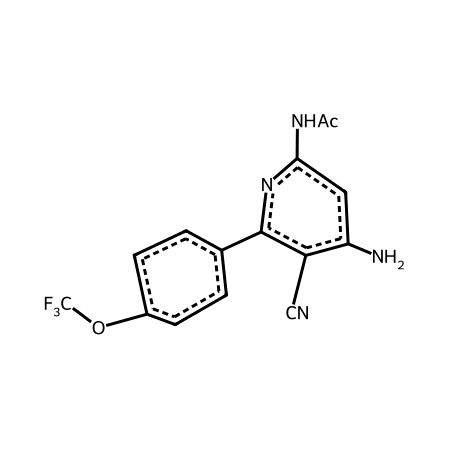 CC(=O)Nc1cc(N)c(C#N)c(-c2ccc(OC(F)(F)F)cc2)n1